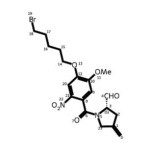 C=C1C[C@@H](C=O)N(C(=O)c2cc(OC)c(OCCCCCBr)cc2[N+](=O)[O-])C1